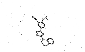 CC(C)Oc1ccc(-c2nc(N3CCCc4ccccc43)no2)cc1C#N